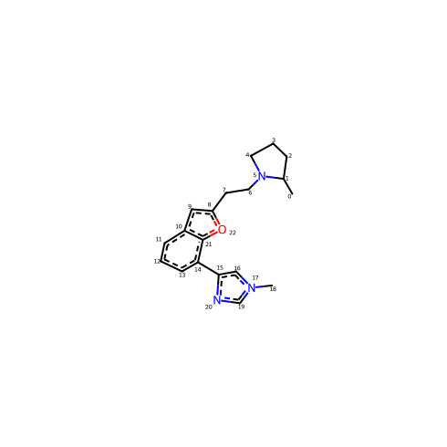 CC1CCCN1CCc1cc2cccc(-c3cn(C)cn3)c2o1